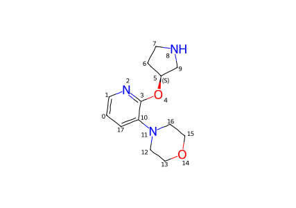 c1cnc(O[C@H]2CCNC2)c(N2CCOCC2)c1